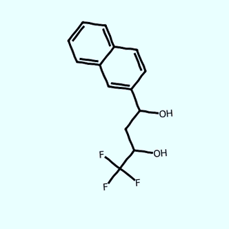 OC(CC(O)C(F)(F)F)c1ccc2ccccc2c1